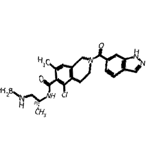 BNC[C@@H](C)NC(=O)c1c(C)cc2c(c1Cl)CCN(C(=O)c1ccc3cn[nH]c3c1)C2